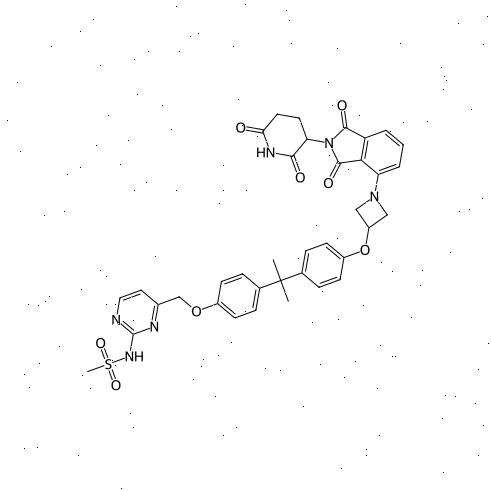 CC(C)(c1ccc(OCc2ccnc(NS(C)(=O)=O)n2)cc1)c1ccc(OC2CN(c3cccc4c3C(=O)N(C3CCC(=O)NC3=O)C4=O)C2)cc1